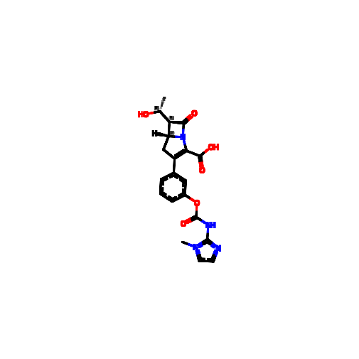 C[C@@H](O)[C@H]1C(=O)N2C(C(=O)O)=C(c3cccc(OC(=O)Nc4nccn4C)c3)C[C@H]12